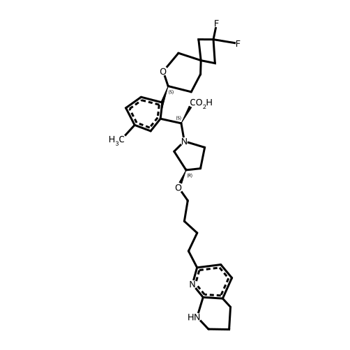 Cc1ccc([C@@H]2CCC3(CO2)CC(F)(F)C3)c([C@@H](C(=O)O)N2CC[C@@H](OCCCCc3ccc4c(n3)NCCC4)C2)c1